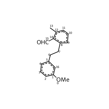 COc1cccc(CCc2cccc(C)c2C=O)c1